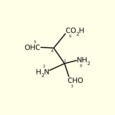 NC(N)(C=O)C(C=O)C(=O)O